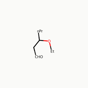 CCCC(CC=O)OCC